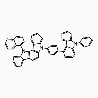 c1ccc(-n2c3ccccc3c3c(-c4ccc(-n5c6ccccc6c6c5ccc5c7ccccc7n(-c7cccc8ccccc78)c56)cc4)cccc32)cc1